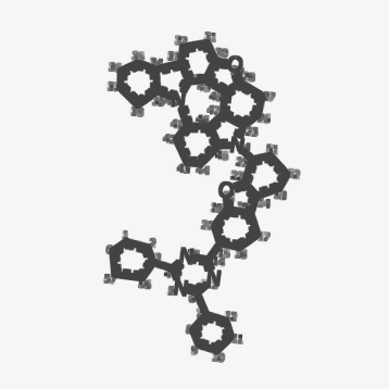 c1ccc(-c2nc(-c3ccccc3)nc(-c3ccc4c(c3)oc3c(-n5c6ccc7oc8ccc9c%10ccccc%10n%10c%11cccc5c%11c6c7c8c9%10)cccc34)n2)cc1